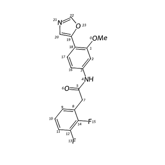 COc1cc(NC(=O)Cc2cccc(F)c2F)ccc1-c1cnco1